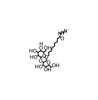 [N-]=[N+]=NC(=O)CCCCCCCCOC1OC(CO)C(O)C(O)C1OC1OC(CO)C(O)C(O)C1O